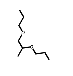 [CH2]CCOCC(C)OCCC